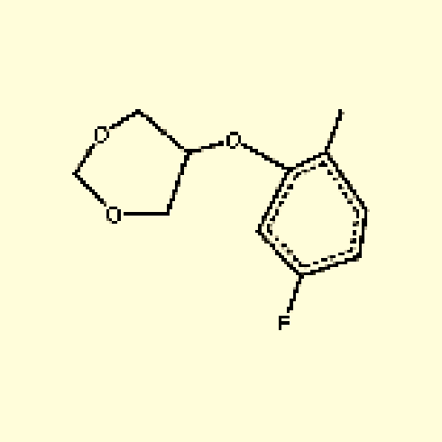 Cc1ccc(F)cc1OC1COCOC1